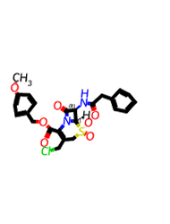 COc1ccc(COC(=O)C2=C(CCl)CS(=O)(=O)[C@@H]3[C@H](NC(=O)Cc4ccccc4)C(=O)N23)cc1